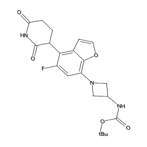 CC(C)(C)OC(=O)NC1CN(c2cc(F)c(C3CCC(=O)NC3=O)c3ccoc23)C1